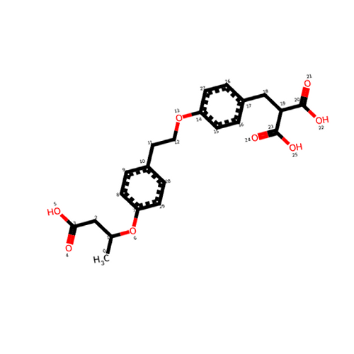 CC(CC(=O)O)Oc1ccc(CCOc2ccc(CC(C(=O)O)C(=O)O)cc2)cc1